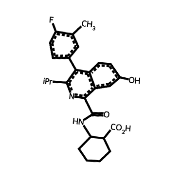 Cc1cc(-c2c(C(C)C)nc(C(=O)NC3CCCCC3C(=O)O)c3cc(O)ccc23)ccc1F